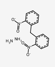 N.N.O=[N+]([O-])c1ccccc1Cc1ccccc1[N+](=O)[O-]